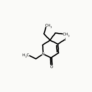 CCN1CC(CC)(CC)C(I)=CC1=O